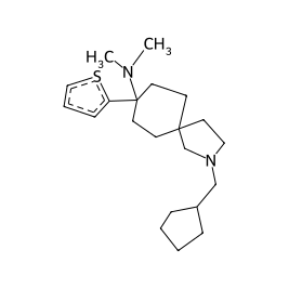 CN(C)C1(c2cccs2)CCC2(CCN(CC3CCCC3)C2)CC1